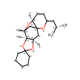 C[C@@H](C#N)CC1CC[C@@H]2O[C@@H]3CC2(C[C@H]2OC4(CCCCC4)O[C@@H]32)O1